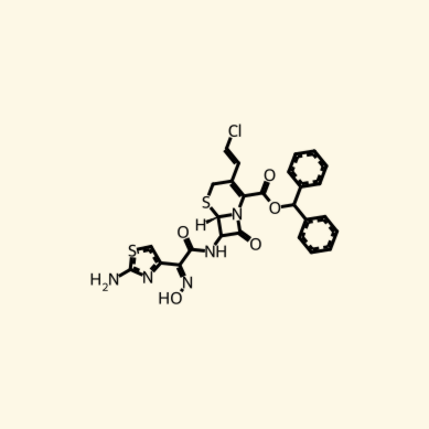 Nc1nc(C(=NO)C(=O)NC2C(=O)N3C(C(=O)OC(c4ccccc4)c4ccccc4)=C(/C=C/Cl)CS[C@@H]23)cs1